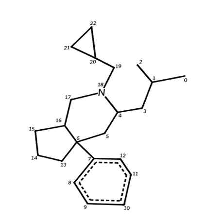 CC(C)CC1CC2(c3ccccc3)CCCC2CN1CC1CC1